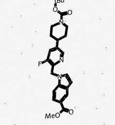 COC(=O)c1ccc2c(ccn2Cc2ncc(C3CCN(C(=O)OC(C)(C)C)CC3)cc2F)c1